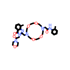 Cc1ccccc1NC(=O)CN1CCOCCOCCN(Cc2nc3c(C)cccc3c(=O)n2CC(=O)N2CCOCC2)CCOCCOCC1